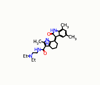 CCN(CC)CCNC(=O)c1c(C)[nH]c2c1CCC/C2=C1/C(=O)Nc2c(C)cc(C)cc21